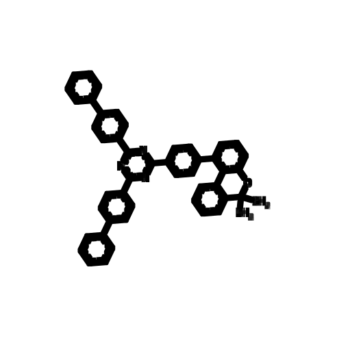 BC1(B)Oc2cccc(-c3ccc(-c4nc(-c5ccc(-c6ccccc6)cc5)nc(-c5ccc(-c6ccccc6)cc5)n4)cc3)c2-c2ccccc21